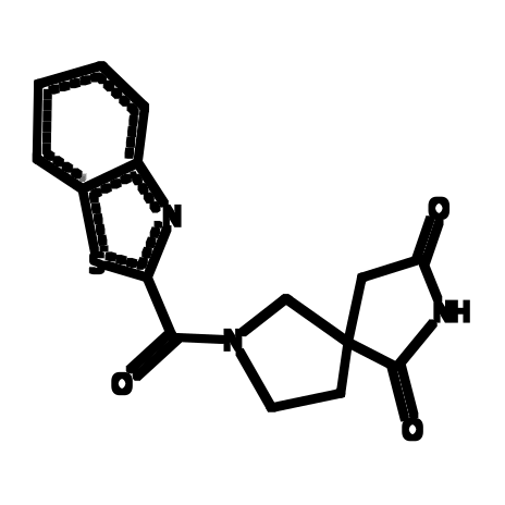 O=C1CC2(CCN(C(=O)c3nc4ccccc4s3)C2)C(=O)N1